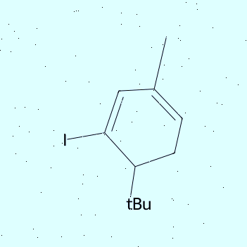 CC1=CCC(C(C)(C)C)C(I)=C1